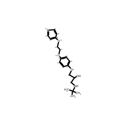 CC(C)(C)NCC(O)COc1ccc(OCCOc2ccncc2)cc1